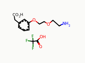 NCCOCCOc1cccc(CC(=O)O)c1.O=C(O)C(F)(F)F